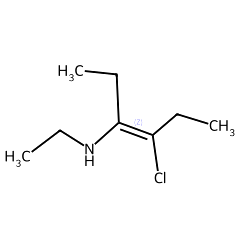 CCN/C(CC)=C(\Cl)CC